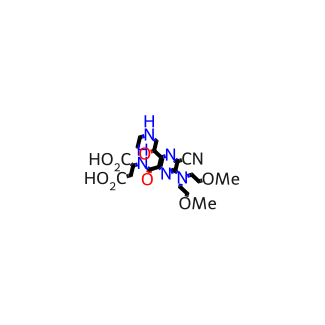 COCCN(CCOC)c1nc(C(=O)NC(CC(=O)O)C(=O)O)c(C2CNCCO2)nc1C#N